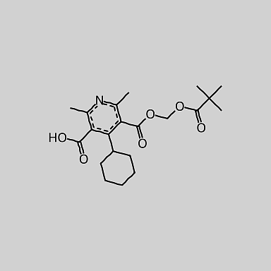 Cc1nc(C)c(C(=O)OCOC(=O)C(C)(C)C)c(C2CCCCC2)c1C(=O)O